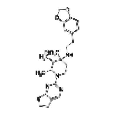 CCOC(=O)C1(NCCc2ccc3c(c2)OCO3)CCN(c2ncc3ccsc3n2)C(C)C1C